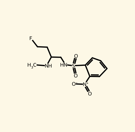 CNC(CCF)CNS(=O)(=O)c1ccccc1[N+](=O)[O-]